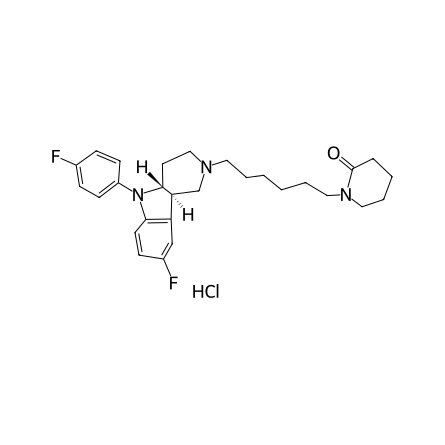 Cl.O=C1CCCCN1CCCCCCN1CC[C@@H]2[C@@H](C1)c1cc(F)ccc1N2c1ccc(F)cc1